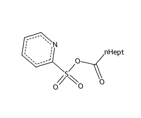 CCCCCCCC(=O)OS(=O)(=O)c1ccccn1